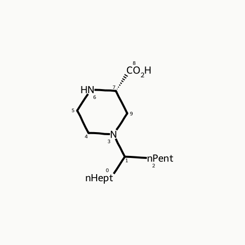 CCCCCCCC(CCCCC)N1CCN[C@H](C(=O)O)C1